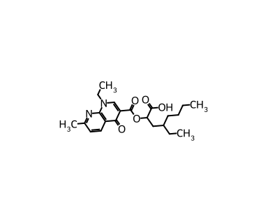 CCCCC(CC)CC(OC(=O)c1cn(CC)c2nc(C)ccc2c1=O)C(=O)O